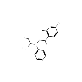 CCC(C)N(CC(O)c1ccc(N)nc1C)c1ccccc1